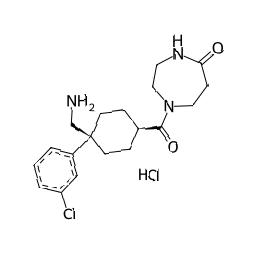 Cl.NC[C@]1(c2cccc(Cl)c2)CC[C@H](C(=O)N2CCNC(=O)CC2)CC1